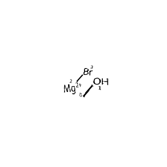 CO.[Mg+2][Br]